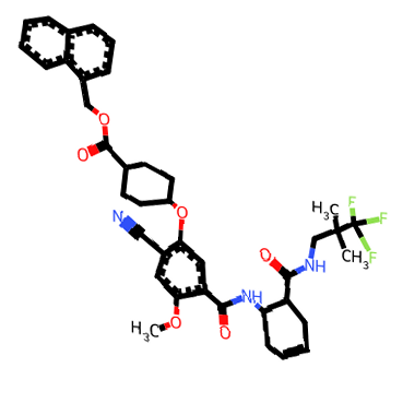 COc1cc(C#N)c(OC2CCC(C(=O)OCc3cccc4ccccc34)CC2)cc1C(=O)NC1CC=CCC1C(=O)NCC(C)(C)C(F)(F)F